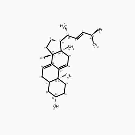 CC(C)[C@@H](C)C=C[C@@H](C)[C@H]1CC[C@H]2C3=CCC4C[C@@H](O)CC[C@]4(C)C3=CC[C@]12C